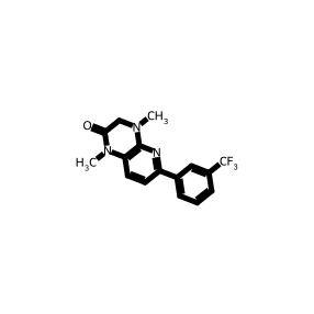 CN1CC(=O)N(C)c2ccc(-c3cccc(C(F)(F)F)c3)nc21